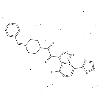 O=C(C(=O)N1CCC(=Cc2ccccc2)CC1)c1c[nH]c2c(-c3ncon3)ccc(F)c12